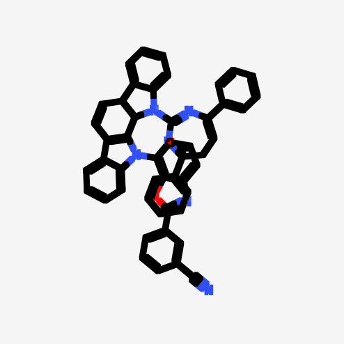 N#Cc1cccc(-c2nc3cccc(-n4c5c(c6ccccc64)C=CC4c6ccccc6N(C6=NC(c7ccccc7)=CCC(c7ccccc7)=N6)C54)c3o2)c1